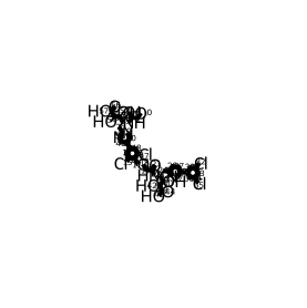 COCC(=O)N[C@@H](Cc1ncc(-c2cc(Cl)c(COCC(=O)N[C@@H](Cc3ccc(-c4cc(Cl)cc(Cl)c4)cn3)[C@H](O)[C@@H](O)C(=O)O)c(Cl)c2)cn1)[C@H](O)[C@@H](O)C(=O)O